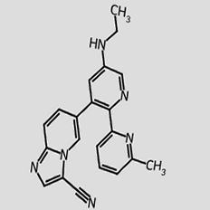 CCNc1cnc(-c2cccc(C)n2)c(-c2ccc3ncc(C#N)n3c2)c1